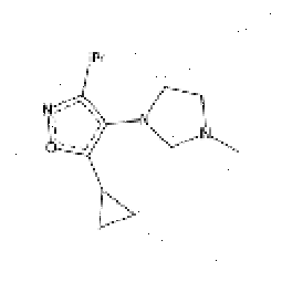 CC(C)c1noc(C2CC2)c1N1CCN(C)C1